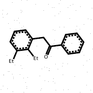 CCc1cccc(CC(=O)c2ccccc2)c1CC